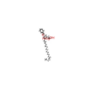 CCCCCCCCCCCCCCCCC[C@H](C[C@H](O)CC(=O)O)OCc1ccccc1